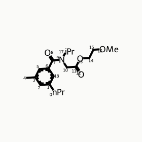 CCCc1cc(C)cc(C(=O)N(CC(=O)OCCOC)C(C)C)c1